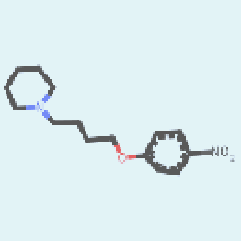 O=[N+]([O-])c1ccc(OCCCCN2CCCCC2)cc1